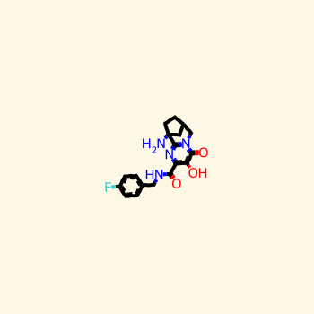 NC12CCC(Cn3c1nc(C(=O)NCc1ccc(F)cc1)c(O)c3=O)C2